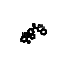 C[C@H](CC1CCCCC1)C(=O)N1CCC(O)(Cn2ccncc2=O)C2(CCCC2)C1